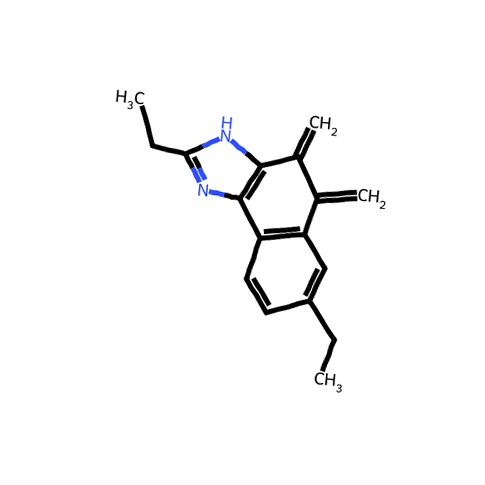 C=c1c(=C)c2[nH]c(CC)nc2c2ccc(CC)cc12